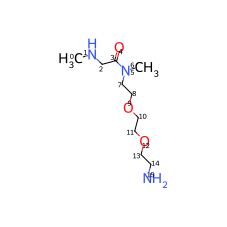 CNCC(=O)N(C)CCOCCOCCN